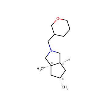 C[C@H]1C[C@@H]2CN(CC3CCCOC3)C[C@]2(C)C1